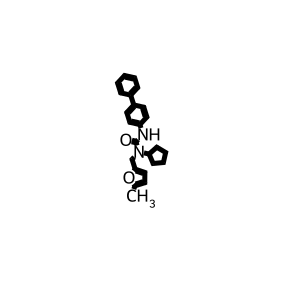 Cc1ccc(CN(C(=O)Nc2ccc(-c3ccccc3)cc2)C2CCCC2)o1